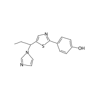 CCC(c1cnc(-c2ccc(O)cc2)s1)n1ccnc1